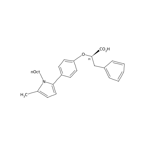 CCCCCCCCn1c(C)ccc1-c1ccc(O[C@H](Cc2ccccc2)C(=O)O)cc1